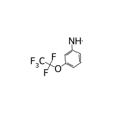 [NH]c1cccc(OC(F)(F)C(F)(F)F)c1